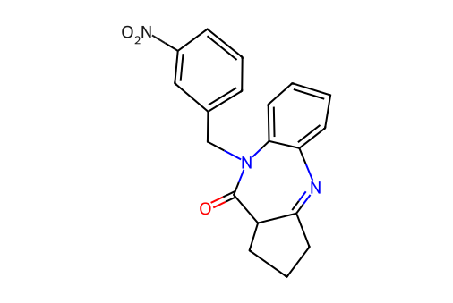 O=C1C2CCCC2=Nc2ccccc2N1Cc1cccc([N+](=O)[O-])c1